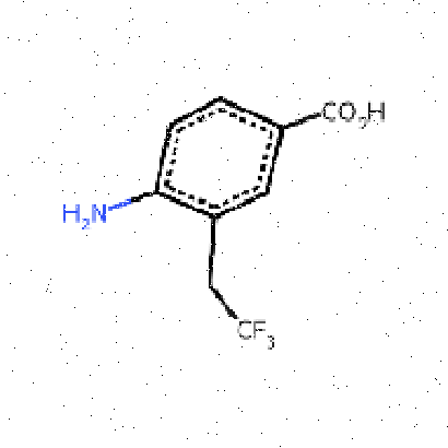 Nc1ccc(C(=O)O)cc1CC(F)(F)F